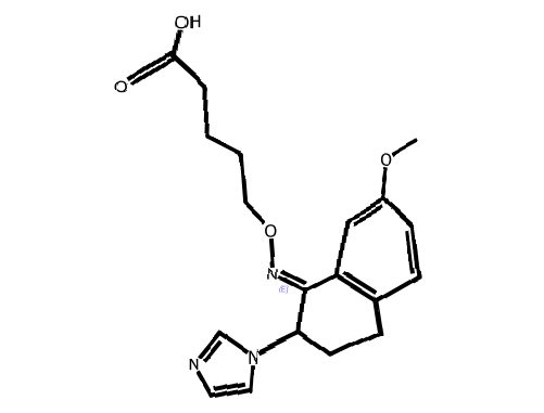 COc1ccc2c(c1)/C(=N\OCCCCC(=O)O)C(n1ccnc1)CC2